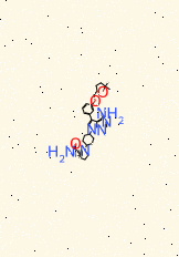 CC1(C)CCC(COc2cccc(-c3cn(C4CCC(N5CCC[C@H]5C(N)=O)CC4)c4ncnc(N)c34)c2)O1